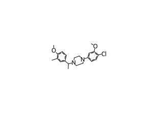 COc1ccc(C(C)N2CCN(c3ccc(Cl)c(OC)c3)CC2)cc1C